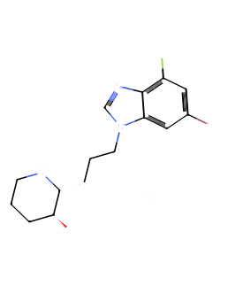 Cl.Cl.O[C@H]1CCCN[C@@H]1CCCn1cnc2c(F)cc(Br)cc21